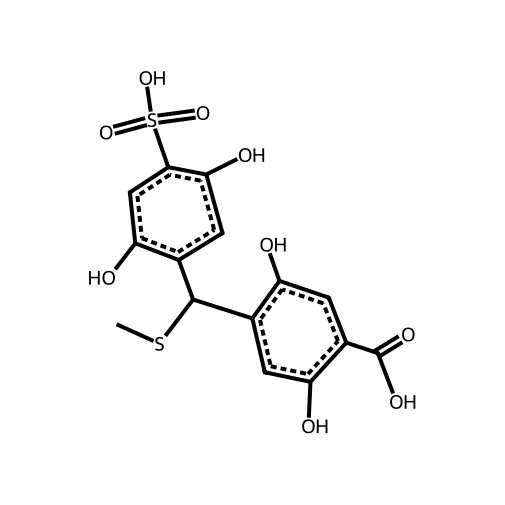 CSC(c1cc(O)c(C(=O)O)cc1O)c1cc(O)c(S(=O)(=O)O)cc1O